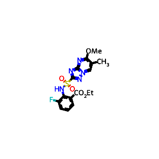 CCOC(=O)c1cccc(F)c1NS(=O)(=O)c1nc2nc(OC)c(C)cn2n1